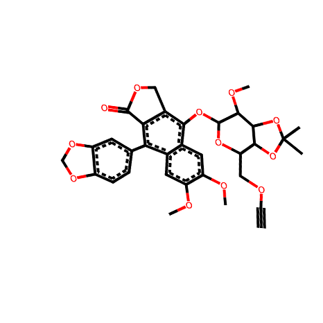 C#COCC1OC(Oc2c3c(c(-c4ccc5c(c4)OCO5)c4cc(OC)c(OC)cc24)C(=O)OC3)C(OC)C2OC(C)(C)OC12